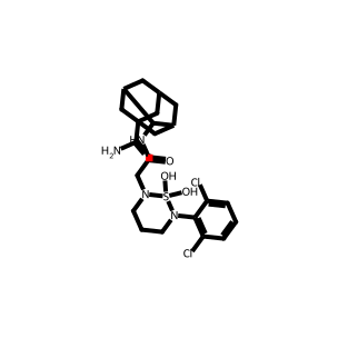 NC(=O)C12CC3CC(C1)C(NC(=O)CN1CCCN(c4c(Cl)cccc4Cl)S1(O)O)C(C3)C2